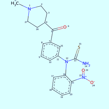 CN1CCC(C(=O)c2cccc(N(C(N)=S)c3ccccc3[N+](=O)[O-])c2)CC1